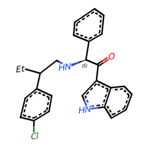 CCC(CN[C@H](C(=O)c1c[nH]c2ccccc12)c1ccccc1)c1ccc(Cl)cc1